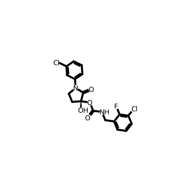 O=C(NCc1cccc(Cl)c1F)O[C@]1(O)CCN(c2cccc(Cl)c2)C1=O